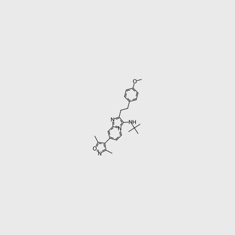 COc1ccc(CCc2nc3cc(-c4c(C)noc4C)ccn3c2NC(C)(C)C)cc1